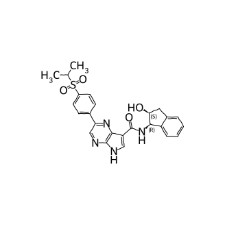 CC(C)S(=O)(=O)c1ccc(-c2cnc3[nH]cc(C(=O)N[C@@H]4c5ccccc5C[C@@H]4O)c3n2)cc1